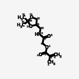 C=C(C)C(=O)OCC(=O)NCC1COC(C)(C)O1